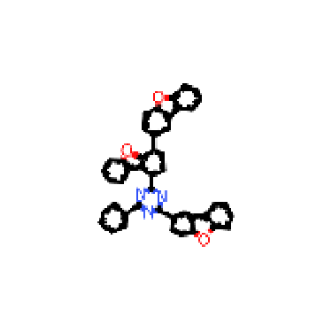 c1ccc(-c2nc(-c3ccc4oc5ccccc5c4c3)nc(-c3ccc(-c4ccc5oc6ccccc6c5c4)c4oc5ccccc5c34)n2)cc1